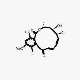 COc1cc(O)c2c(c1Cl)CC(=O)/C=C/C=C\[C@H](Cl)[C@H](O)C[C@@H](C)OC2=O